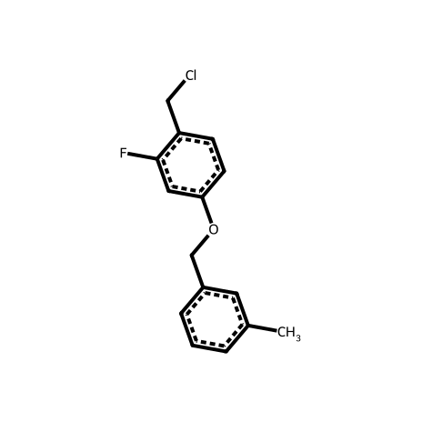 Cc1cccc(COc2ccc(CCl)c(F)c2)c1